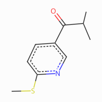 CSc1ccc(C(=O)C(C)C)cn1